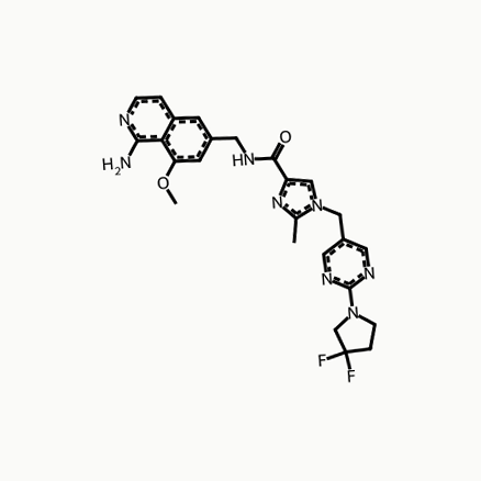 COc1cc(CNC(=O)c2cn(Cc3cnc(N4CCC(F)(F)C4)nc3)c(C)n2)cc2ccnc(N)c12